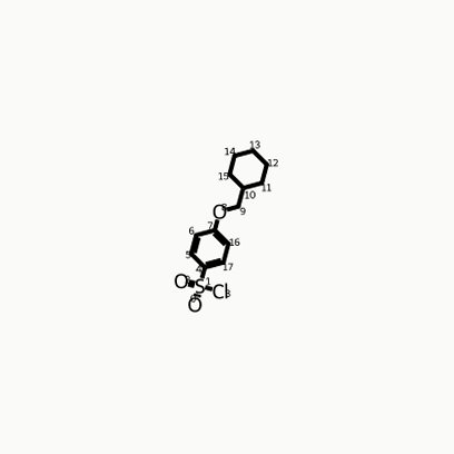 O=S(=O)(Cl)c1ccc(OCC2CCCCC2)cc1